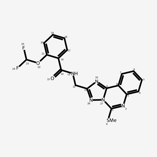 CSc1nc2ccccc2c2nc(CNC(=O)c3ccccc3OC(F)F)nn12